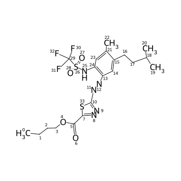 CCCCOC(=O)c1nnc(N=Nc2cc(CCC(C)C)c(C)cc2NS(=O)(=O)C(F)(F)F)s1